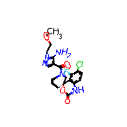 COCCn1ncc(C(=O)N2CCC[C@@]3(C2)OC(=O)Nc2ccc(Cl)c(F)c23)c1N